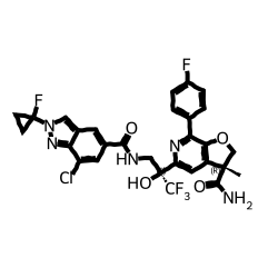 C[C@]1(C(N)=O)COc2c1cc([C@@](O)(CNC(=O)c1cc(Cl)c3nn(C4(F)CC4)cc3c1)C(F)(F)F)nc2-c1ccc(F)cc1